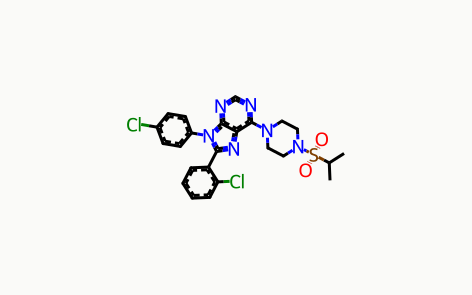 CC(C)S(=O)(=O)N1CCN(c2ncnc3c2nc(-c2ccccc2Cl)n3-c2ccc(Cl)cc2)CC1